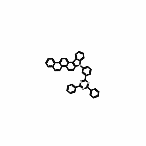 c1ccc(-c2nc(-c3ccccc3)nc(-c3cccc(-n4c5ccccc5c5c6ccc7c8ccccc8ccc7c6ccc54)c3)n2)cc1